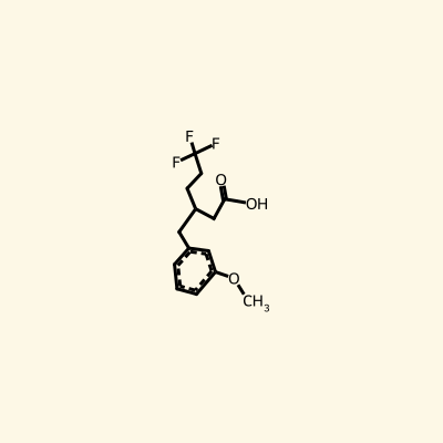 COc1cccc(CC(CCC(F)(F)F)CC(=O)O)c1